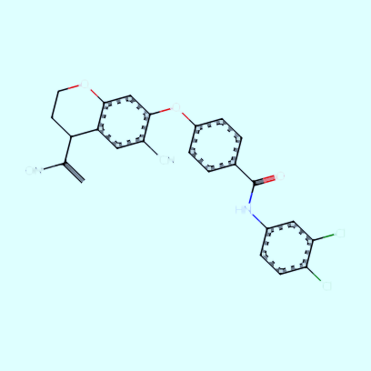 C=C(N=O)C1CCOc2cc(Oc3ccc(C(=O)Nc4ccc(Cl)c(Cl)c4)cc3)c(C#N)cc21